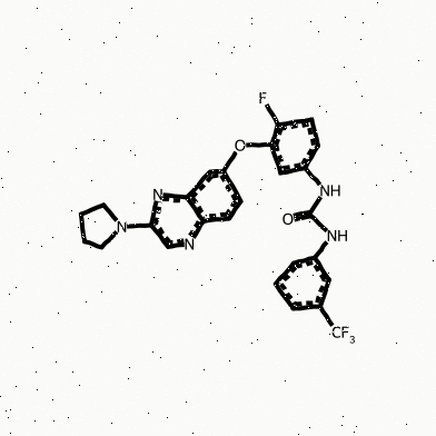 O=C(Nc1cccc(C(F)(F)F)c1)Nc1ccc(F)c(Oc2ccc3ncc(N4CCCC4)nc3c2)c1